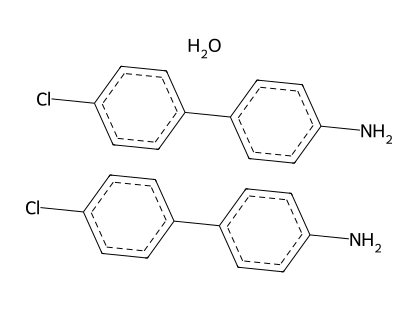 Nc1ccc(-c2ccc(Cl)cc2)cc1.Nc1ccc(-c2ccc(Cl)cc2)cc1.O